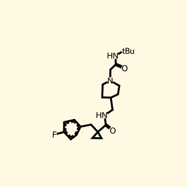 CC(C)(C)NC(=O)CN1CCC(CNC(=O)C2(Cc3ccc(F)cc3)CC2)CC1